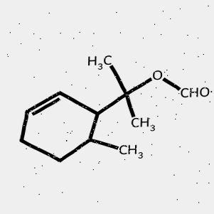 CC1CCC=CC1C(C)(C)O[C]=O